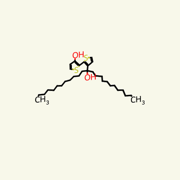 CCCCCCCCCCCCC(O)(CCCCCCCCCCCC)c1ccsc1-c1sccc1O